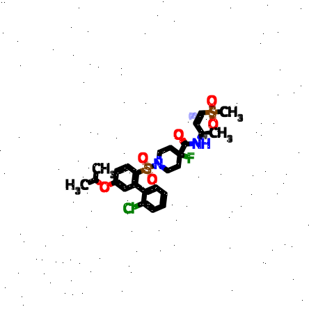 CC(C)Oc1ccc(S(=O)(=O)N2CCC(F)(C(=O)N[C@H](C)/C=C\S(C)(=O)=O)CC2)c(-c2ccccc2Cl)c1